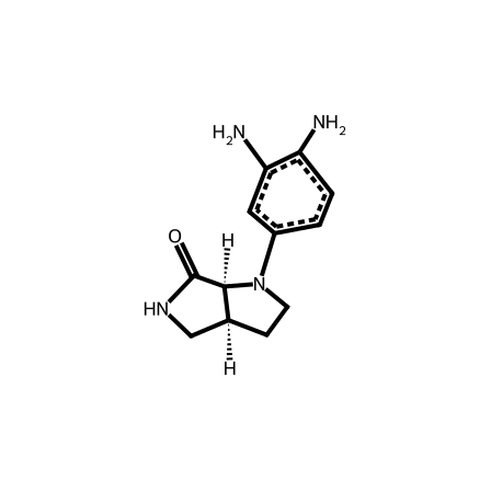 Nc1ccc(N2CC[C@H]3CNC(=O)[C@H]32)cc1N